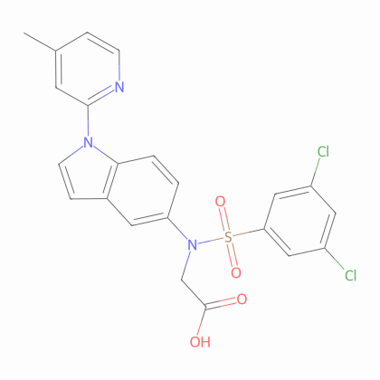 Cc1ccnc(-n2ccc3cc(N(CC(=O)O)S(=O)(=O)c4cc(Cl)cc(Cl)c4)ccc32)c1